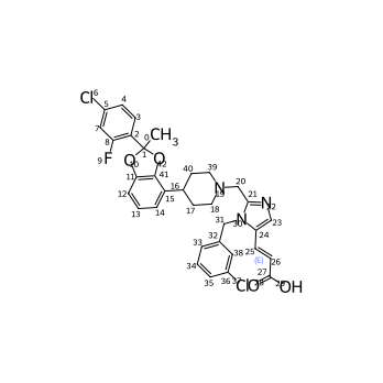 CC1(c2ccc(Cl)cc2F)Oc2cccc(C3CCN(Cc4ncc(/C=C/C(=O)O)n4Cc4cccc(Cl)c4)CC3)c2O1